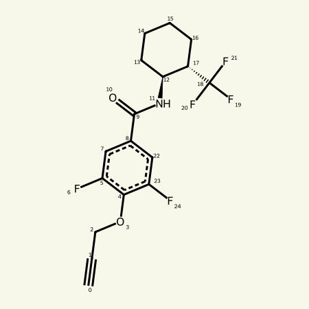 C#CCOc1c(F)cc(C(=O)N[C@H]2CCCC[C@@H]2C(F)(F)F)cc1F